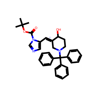 CC(C)(C)OC(=O)n1cncc1/C=C1\CN(C(c2ccccc2)(c2ccccc2)c2ccccc2)CCC1O